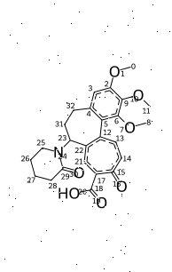 COc1cc2c(c(OC)c1OC)-c1ccc(=O)c(C(=O)O)cc1C(N1CCCCC1=O)CC2